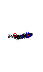 CCN1CC2CCC(C1)N2c1ncc(C2CCN(c3ccc(CC(=O)C(C)C)cc3)CC2)cn1